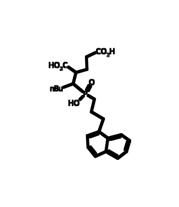 CCCCC(C(CCC(=O)O)C(=O)O)P(=O)(O)CCCc1cccc2ccccc12